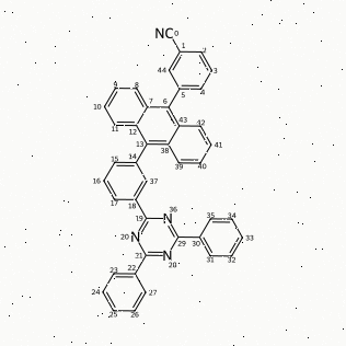 N#Cc1cccc(-c2c3ccccc3c(-c3cccc(-c4nc(-c5ccccc5)nc(-c5ccccc5)n4)c3)c3ccccc23)c1